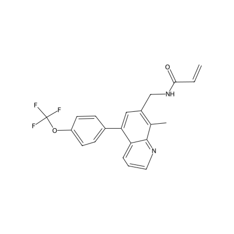 C=CC(=O)NCc1cc(-c2ccc(OC(F)(F)F)cc2)c2cccnc2c1C